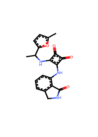 Cc1ccc(C(C)Nc2c(Nc3cccc4c3C(=O)NC4)c(=O)c2=O)o1